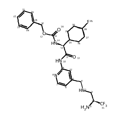 N[C@@H](CNCc1ccnc(NC(=O)[C@@H](NC(=O)OCc2ccccc2)C2CCC(F)CC2)c1)C(F)(F)F